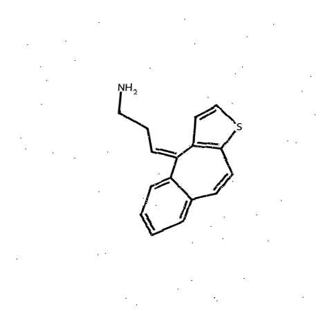 NCCC=C1c2ccccc2C=Cc2sccc21